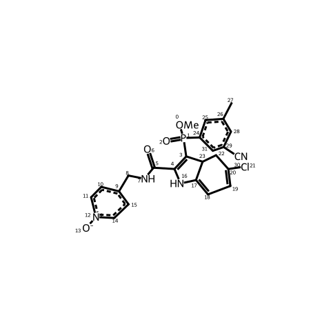 COP(=O)(C1=C(C(=O)NCc2cc[n+]([O-])cc2)NC2=CC=C(Cl)CC21)c1cc(C)cc(C#N)c1